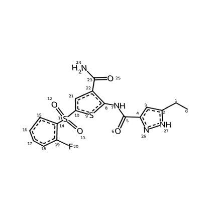 CCc1cc(C(=O)Nc2sc(S(=O)(=O)c3ccccc3F)cc2C(N)=O)n[nH]1